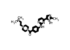 Cc1ncc(-c2ccnc(Nc3ccc(C(=O)N4CCN(CCN(C)C)CC4)cc3)n2)n1C(C)C